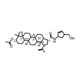 C=C(C)[C@@H]1C[C@@H](C(=O)NC2C=CC(CO)C2)C2CC[C@]3(C)[C@H](CC[C@@H]4[C@@]5(C)CC[C@H](OC(C)=O)C(C)(C)[C@@H]5CC[C@]43C)[C@H]21